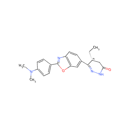 CC[C@@H]1CC(=O)NN=C1c1ccc2nc(-c3ccc(N(C)C)cc3)oc2c1